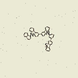 c1cc(-c2ccc3c(c2)sc2ccccc23)cc(-n2c3ccccc3c3cc(-c4ccc5c(c4)c4ccccc4n5-c4cccc5ccccc45)ccc32)c1